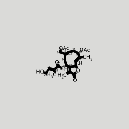 C=C1C(=O)O[C@@H]2/C=C(\C)[C@@H](OC(C)=O)C/C=C(/COC(C)=O)C[C@@H](OC(=O)/C(C)=C/CO)[C@@H]12